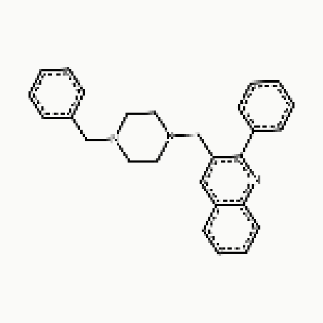 c1ccc(CN2CCN(Cc3cc4ccccc4nc3-c3ccccc3)CC2)cc1